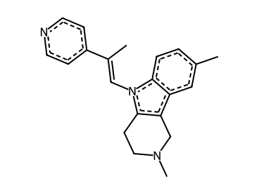 CC(=Cn1c2c(c3cc(C)ccc31)CN(C)CC2)c1ccncc1